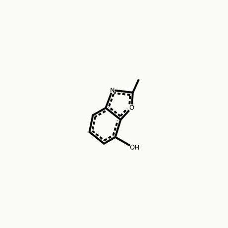 Cc1nc2cccc(O)c2o1